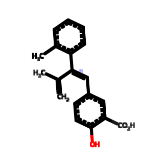 C=C(C)/C(=C\c1ccc(O)c(C(=O)O)c1)c1ccccc1C